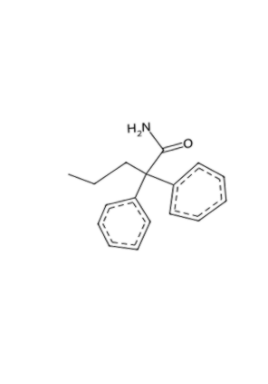 CCCC(C(N)=O)(c1ccccc1)c1ccccc1